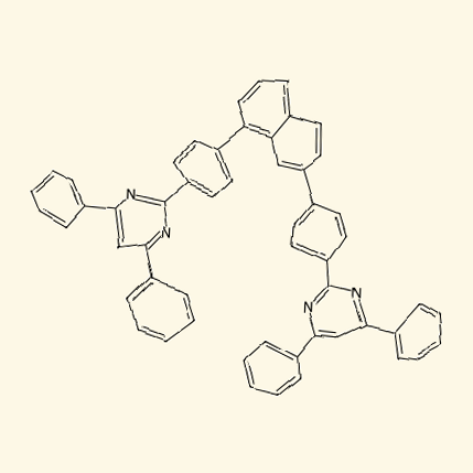 c1ccc(-c2cc(-c3ccccc3)nc(-c3ccc(-c4ccc5cccc(-c6ccc(-c7nc(-c8ccccc8)cc(-c8ccccc8)n7)cc6)c5c4)cc3)n2)cc1